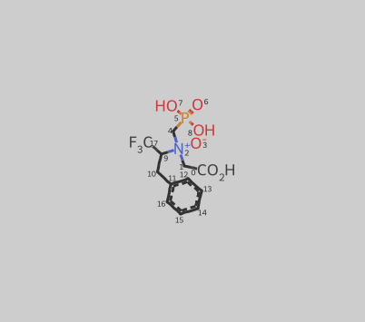 O=C(O)C[N+]([O-])(CP(=O)(O)O)C(Cc1ccccc1)C(F)(F)F